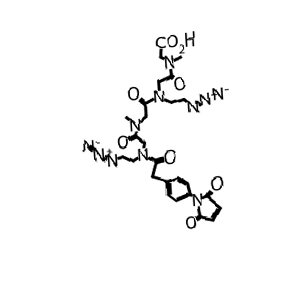 CN(CC(=O)O)C(=O)CN(CCN=[N+]=[N-])C(=O)CN(C)C(=O)CN(CCN=[N+]=[N-])C(=O)Cc1ccc(N2C(=O)C=CC2=O)cc1